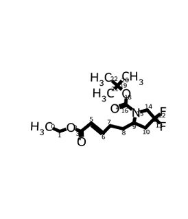 CCOC(=O)C=CCCC1CC(F)(F)CN1C(=O)OC(C)(C)C